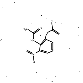 CC(=O)Nc1c(OC(C)=O)cccc1[N+](=O)[O-]